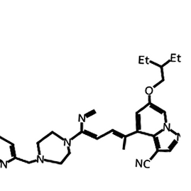 C=N/C(=C\C=C(/C)c1cc(OCC(CC)CC)cn2ncc(C#N)c12)N1CCN(Cc2ccccn2)CC1